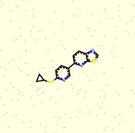 c1nc2ccc(-c3ccc(SC4CC4)nc3)nc2s1